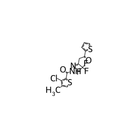 Cc1csc(C(=O)NN=C(CC(=O)c2cccs2)C(F)(F)F)c1Cl